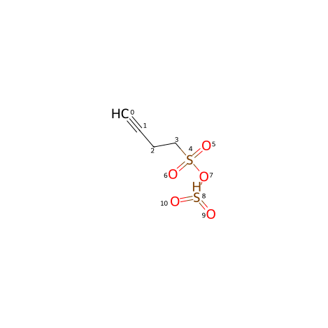 C#CCCS(=O)(=O)O[SH](=O)=O